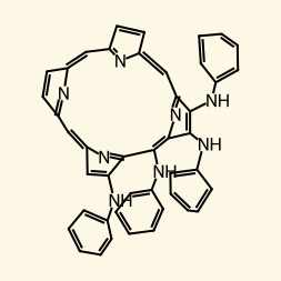 C1=CC2=NC1=CC1=NC(=C(Nc3ccccc3)C3=NC(=CC4=NC(=C2)C=C4)C=C3Nc2ccccc2)C(Nc2ccccc2)=C1Nc1ccccc1